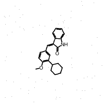 COc1ccc(C=C2C(=O)Nc3ccccc32)cc1C1CCCCC1